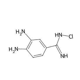 N=C(NCl)c1ccc(N)c(N)c1